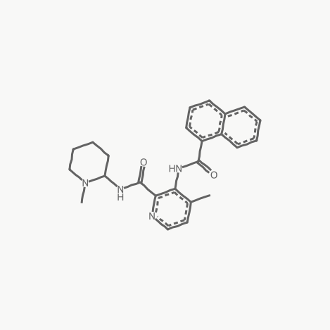 Cc1ccnc(C(=O)NC2CCCCN2C)c1NC(=O)c1cccc2ccccc12